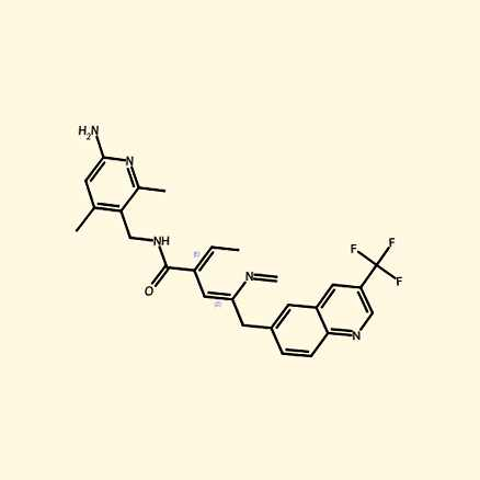 C=N/C(=C\C(=C/C)C(=O)NCc1c(C)cc(N)nc1C)Cc1ccc2ncc(C(F)(F)F)cc2c1